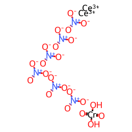 O=[N+]([O-])[O-].O=[N+]([O-])[O-].O=[N+]([O-])[O-].O=[N+]([O-])[O-].O=[N+]([O-])[O-].O=[N+]([O-])[O-].[Ce+3].[Ce+3].[O]=[Cr](=[O])([OH])[OH]